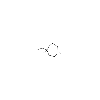 CN1CCCC(C)(CO)CC1